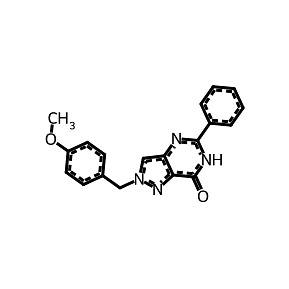 COc1ccc(Cn2cc3nc(-c4ccccc4)[nH]c(=O)c3n2)cc1